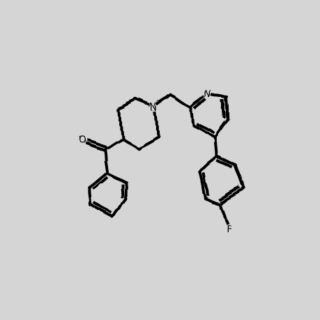 O=C(c1ccccc1)C1CCN(Cc2cc(-c3ccc(F)cc3)ccn2)CC1